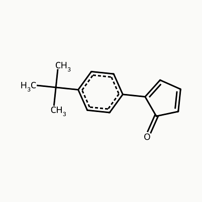 CC(C)(C)c1ccc(C2=CC=CC2=O)cc1